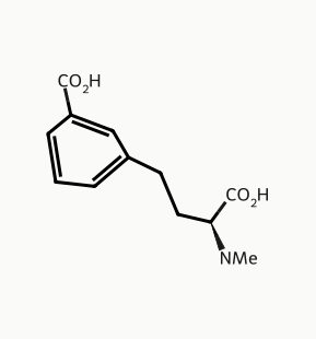 CN[C@@H](CCc1cccc(C(=O)O)c1)C(=O)O